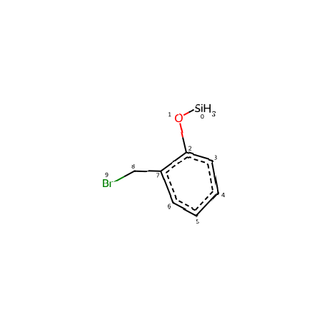 [SiH3]Oc1ccccc1CBr